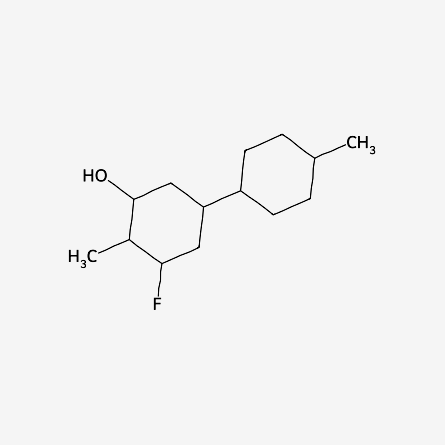 CC1CCC(C2CC(O)C(C)C(F)C2)CC1